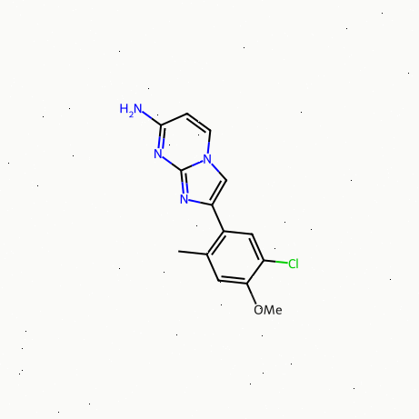 COc1cc(C)c(-c2cn3ccc(N)nc3n2)cc1Cl